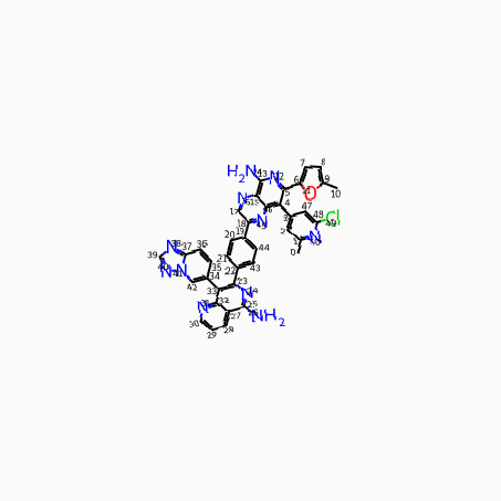 Cc1cc(-c2c(-c3ccc(C)o3)nc(N)c3ncc(-c4ccc(-c5nc(N)c6cccnc6c5-c5ccc6ncnn6c5)cc4)nc23)cc(Cl)n1